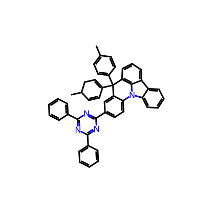 Cc1ccc(C2(C3=CCC(C)C=C3)c3cc(-c4nc(-c5ccccc5)nc(-c5ccccc5)n4)ccc3-n3c4ccccc4c4cccc2c43)cc1